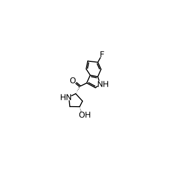 O=C(c1c[nH]c2cc(F)ccc12)[C@@H]1C[C@H](O)CN1